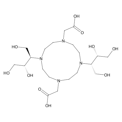 O=C(O)CN1CCN([C@H](CO)[C@H](O)CO)CCN(CC(=O)O)CCN([C@@H](CO)[C@H](O)CO)CC1